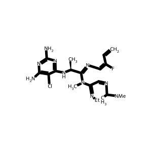 C=C/C(F)=C\N=C(\[C@H](C)Nc1nc(N)nc(N)c1Cl)N(C)C(/C=N\C(C)NC)=N/CC